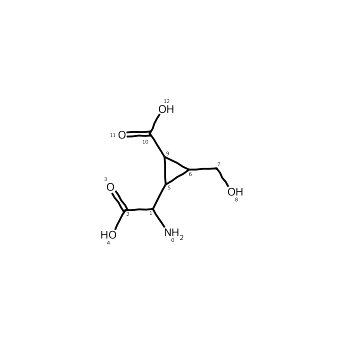 NC(C(=O)O)C1C(CO)C1C(=O)O